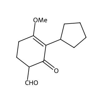 COC1=C(C2CCCC2)C(=O)C(C=O)CC1